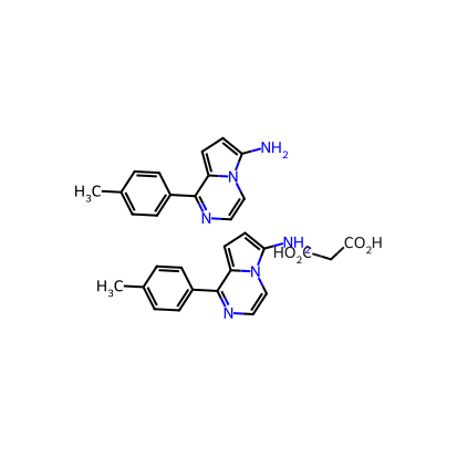 Cc1ccc(-c2nccn3c(N)ccc23)cc1.Cc1ccc(-c2nccn3c(N)ccc23)cc1.O=C(O)CC(=O)O